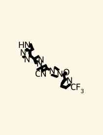 N#CCC1(n2cc(-c3ncnc4[nH]ccc34)cn2)CC(N2CCN(C(=O)c3cccc(C(F)(F)F)n3)CC2)C1